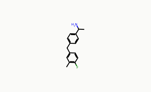 Cc1cc(Cc2ccc(C(C)N)cc2)ccc1F